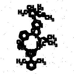 COCC1(C)CC(C)(C)CN1c1cnc(CN2C(=O)c3cccc(c3)S(=O)(=O)Nc3nc(cc(-c4c(C)cccc4C)n3)OC[C@H]2CC(C)(C)C)nc1